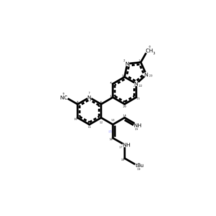 Cc1nc2cc(-c3nc(C#N)ccc3/C(C=N)=C/NCC(C)(C)C)ccn2n1